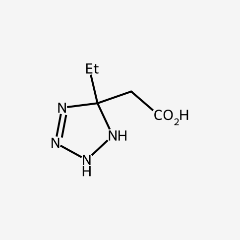 CCC1(CC(=O)O)N=NNN1